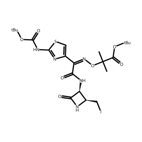 CC(C)(C)OC(=O)Nc1nc(C(=NOC(C)(C)C(=O)OC(C)(C)C)C(=O)N[C@@H]2C(=O)N[C@@H]2CI)cs1